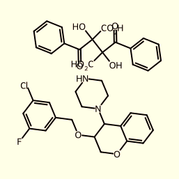 Fc1cc(Cl)cc(COC2COc3ccccc3C2N2CCNCC2)c1.O=C(O)C(O)(C(=O)c1ccccc1)C(O)(C(=O)O)C(=O)c1ccccc1